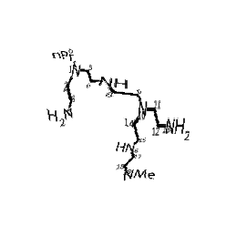 CCCN(CCN)CCNCCN(CCN)CCNCCNC